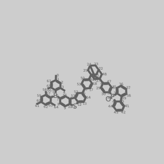 Cc1cc(C)c(B(c2ccc3sc4ccc(-c5ccc(C67CC8CC(C6)CC(c6ccc(P9(=O)c%10ccccc%10-c%10ccccc%109)cc6)(C8)C7)cc5)cc4c3c2)c2c(C)cc(C)cc2C)c(C)c1